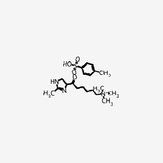 CC1=NC(C(=O)CCCCC[N+](C)(C)C)CN1.Cc1ccc(S(=O)(=O)O)cc1